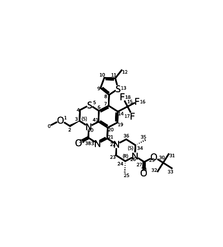 COC[C@H]1CSc2c(-c3ccc(C)s3)c(C(F)(F)F)cc3c(N4C[C@@H](C)N(C(=O)OC(C)(C)C)[C@@H](C)C4)nc(=O)n1c23